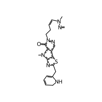 C=NN(C)/C=C\CCn1ncc2c3sc(CC4=CC=CCN4)nc3n(C)c2c1=O